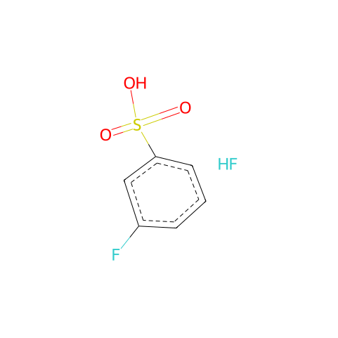 F.O=S(=O)(O)c1cccc(F)c1